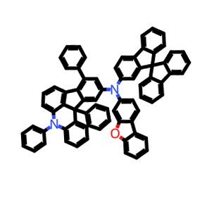 c1ccc(-c2cc(N(c3ccc4c(c3)C3(c5ccccc5-c5ccccc53)c3ccccc3-4)c3ccc4c(c3)oc3ccccc34)cc3c2-c2cccc4c2C3(c2ccccc2)c2ccccc2N4c2ccccc2)cc1